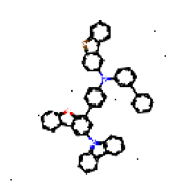 c1ccc(-c2cccc(N(c3ccc(-c4cc(-n5c6ccccc6c6ccccc65)cc5c4oc4ccccc45)cc3)c3ccc4sc5ccccc5c4c3)c2)cc1